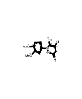 COc1ccc(N2NC(=O)CC(Cl)=C2C#N)cc1OC